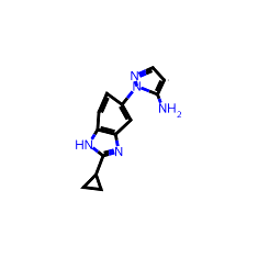 Nc1[c]cnn1-c1ccc2[nH]c(C3CC3)nc2c1